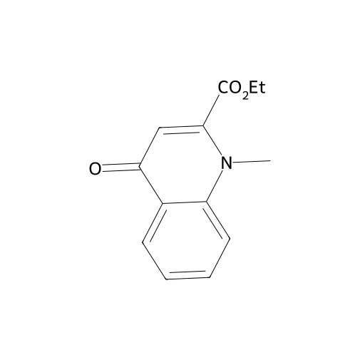 CCOC(=O)c1cc(=O)c2ccccc2n1C